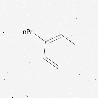 [CH2]CCC(C=C)=CC